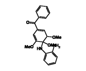 COC1=CC(C(=O)c2ccccc2)=CC(OC)C1(Nc1ccccc1N)OC